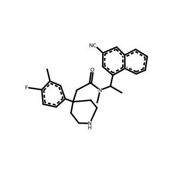 Cc1cc(C2(CC(=O)N(C)C(C)c3cc(C#N)cc4ccccc34)CCNCC2)ccc1F